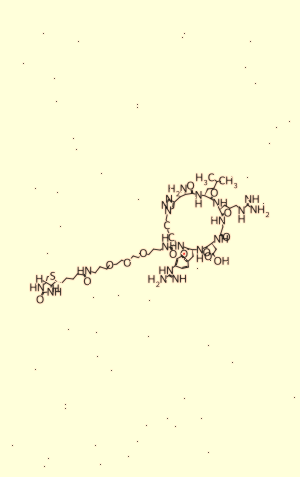 CC(C)CC[C@@H]1NC(=O)[C@@H](N)Cc2cn(nn2)CCCC[C@@H](C(=O)NCCCOCCOCCOCCCNC(=O)CCCC[C@H]2SC[C@H]3NC(=O)N[C@H]32)NC(=O)[C@H](Cc2ccc(NC(=N)N)cc2)NC(=O)[C@H](CC(=O)O)NC(=O)CNC(=O)[C@H](CCCNC(=N)N)NC1=O